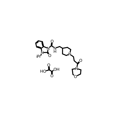 CC(C)n1c(=O)n(C(=O)NCC2CCN(CCC(=O)N3CCOCC3)CC2)c2ccccc21.O=C(O)C(=O)O